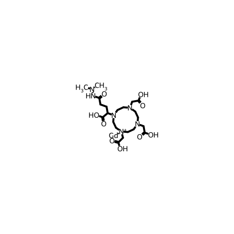 CN(C)NC(=O)CCC(C(=O)O)N1CCN(CC(=O)O)CCN(CC(=O)O)CC[N@+]([Gd])(CC(=O)O)CC1